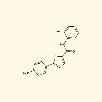 Cc1ccccc1NC(=O)c1ccc(-c2ccc(O)cc2)s1